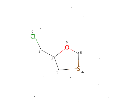 ClCC1CS[CH]O1